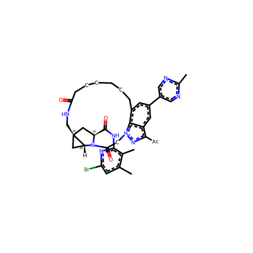 CC(=O)c1nn2c3c(cc(-c4cnc(C)nc4)cc13)CCCCCCC(=O)NC[C@@]13C[C@@H](C(=O)Nc4nc(Br)cc(C)c4C)N(C(=O)C2)[C@@H]1C3